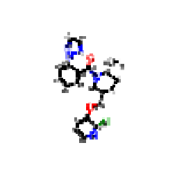 C[C@@H]1CC[C@@H](COc2cccnc2Cl)CN1C(=O)c1ccccc1-n1nccn1